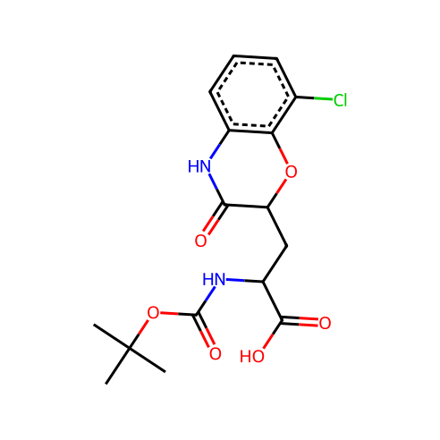 CC(C)(C)OC(=O)NC(CC1Oc2c(Cl)cccc2NC1=O)C(=O)O